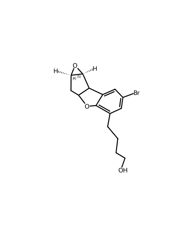 OCCCCc1cc(Br)cc2c1OC1C[C@H]3O[C@H]3C21